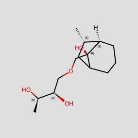 C[C@@H](O)[C@H](O)COC[C@@]1(O)C2CCC[C@@H]1[C@@H](C)C2